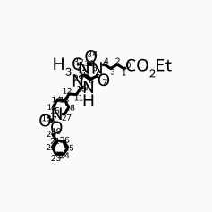 CCOC(=O)CCCCn1c(=O)c2[nH]c(CCC3CCN(C(=O)OCc4ccccc4)CC3)nc2n(C)c1=O